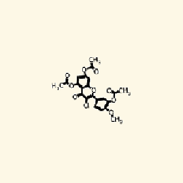 COc1ccc(-c2oc3cc(OC(C)=O)cc(OC(C)=O)c3c(=O)c2Cl)cc1OC(C)=O